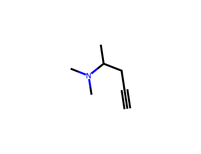 C#CCC(C)N(C)C